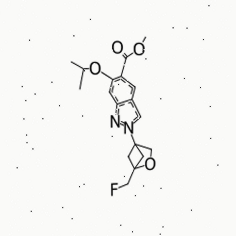 COC(=O)c1cc2cn(C34COC(CF)(C3)C4)nc2cc1OC(C)C